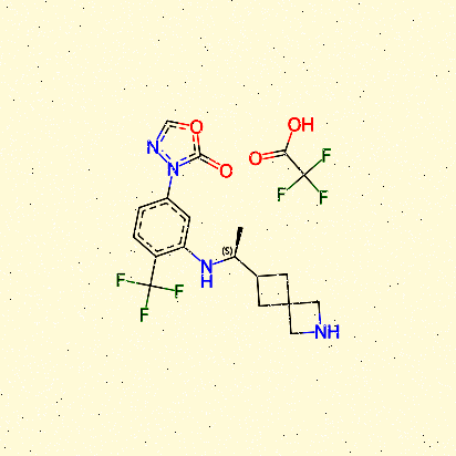 C[C@H](Nc1cc(-n2ncoc2=O)ccc1C(F)(F)F)C1CC2(CNC2)C1.O=C(O)C(F)(F)F